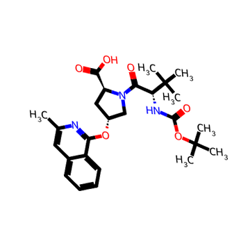 Cc1cc2ccccc2c(O[C@@H]2C[C@@H](C(=O)O)N(C(=O)[C@@H](NC(=O)OC(C)(C)C)C(C)(C)C)C2)n1